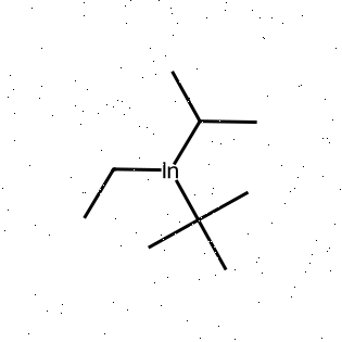 C[CH2][In]([CH](C)C)[C](C)(C)C